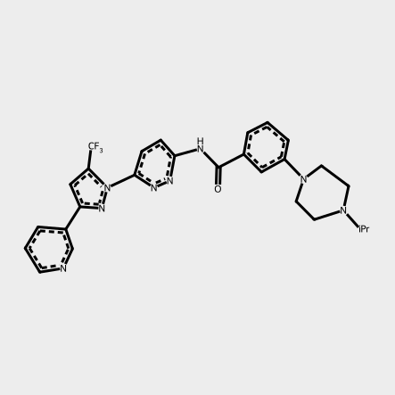 CC(C)N1CCN(c2cccc(C(=O)Nc3ccc(-n4nc(-c5cccnc5)cc4C(F)(F)F)nn3)c2)CC1